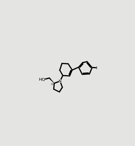 OC[C@@H]1CCCN1C1C=C(c2ccc(I)cc2)CCC1